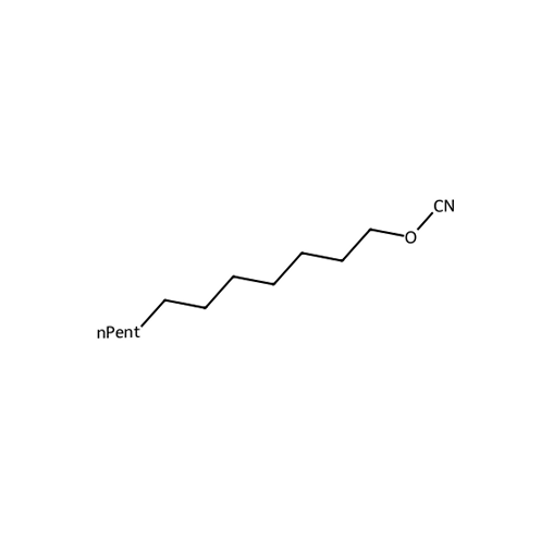 CCCCCCCCCCCCOC#N